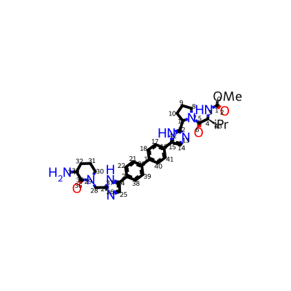 COC(=O)N[C@H](C(=O)N1CCCC1c1ncc(-c2ccc(-c3ccc(-c4cnc(CN5CCCC(N)C5=O)[nH]4)cc3)cc2)[nH]1)C(C)C